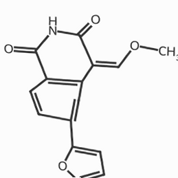 COC=C1C(=O)NC(=O)c2ccc(-c3ccco3)cc21